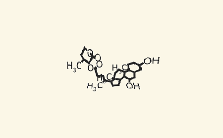 CC1CCOC(=O)C1OC(=O)CCC(C)C1CCC2C3C(O)CC4CC(O)CCC4(C)C3CCC12C